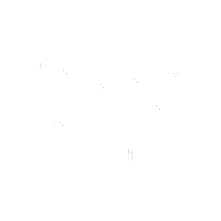 CSc1nc2c(c(N3CCN(C(C)(C)C)C(CC#N)C3)n1)CCNC2